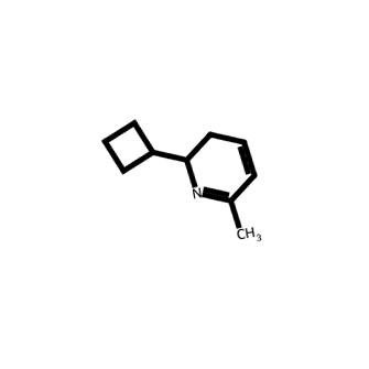 CC1=NC(C2CCC2)CC=C1